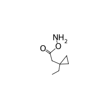 CCC1(CC(=O)ON)CC1